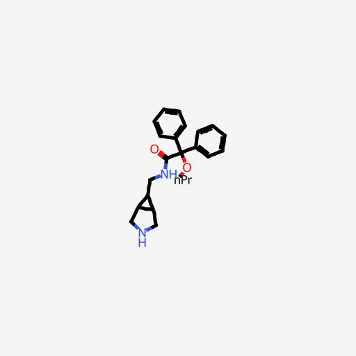 CCCOC(C(=O)NCC1C2CNCC21)(c1ccccc1)c1ccccc1